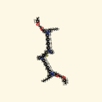 C=Cc1ccc(OCCCCOCc2ccc(N(c3ccc(CCCCCC)cc3)c3ccc(-c4ccc(-c5ccc(-c6ccc(N(c7ccccc7)c7ccc8c(c7)sc7cc(N(c9ccccc9)c9ccc(-c%10ccc(-c%11ccc(-c%12ccc(N(c%13ccc(CCCCCC)cc%13)c%13ccc(COCCCCOc%14ccc(C=C)cc%14)cc%13)cc%12)cc%11)cc%10)cc9)ccc78)cc6)cc5)cc4)cc3)cc2)cc1